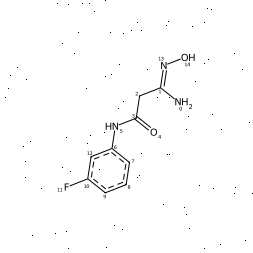 N/C(CC(=O)Nc1cccc(F)c1)=N\O